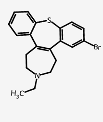 CCN1CCC2=C(CC1)c1cc(Br)ccc1Sc1ccccc12